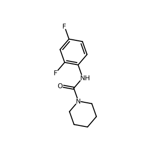 O=C(Nc1ccc(F)cc1F)N1CCCCC1